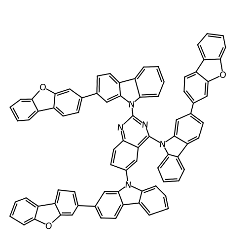 c1ccc2c(c1)oc1cc(-c3ccc4c5ccccc5n(-c5ccc6nc(-n7c8ccccc8c8ccc(-c9ccc%10c(c9)oc9ccccc9%10)cc87)nc(-n7c8ccccc8c8ccc(-c9ccc%10c(c9)oc9ccccc9%10)cc87)c6c5)c4c3)ccc12